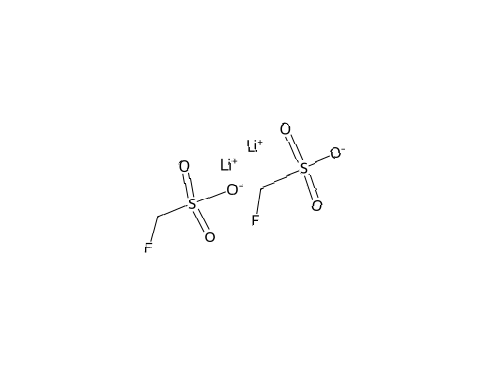 O=S(=O)([O-])CF.O=S(=O)([O-])CF.[Li+].[Li+]